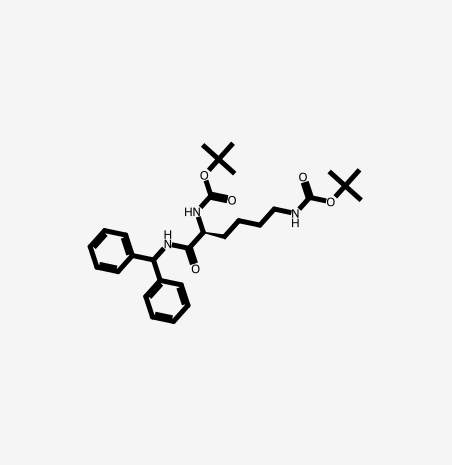 CC(C)(C)OC(=O)NCCCC[C@H](NC(=O)OC(C)(C)C)C(=O)NC(c1ccccc1)c1ccccc1